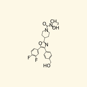 CN(O)C(=O)N1CCC(c2nc(-c3ccc(CO)cc3)c(-c3ccc(F)c(F)c3)o2)CC1